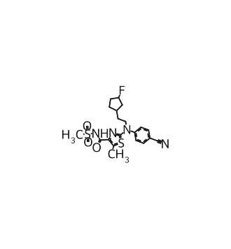 Cc1sc(N(CCC2CCC(F)C2)c2ccc(C#N)cc2)nc1C(=O)NS(C)(=O)=O